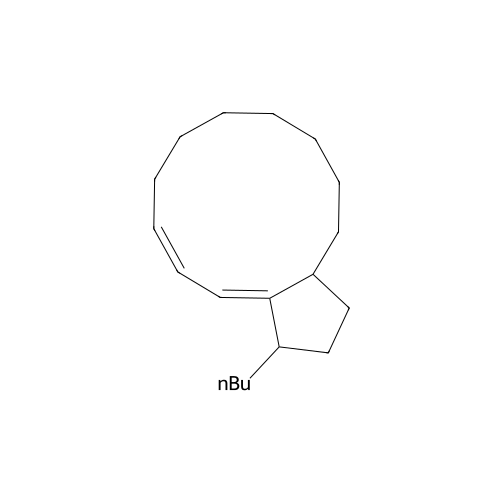 CCCCC1CCC2CCCCCCCC=CC=C12